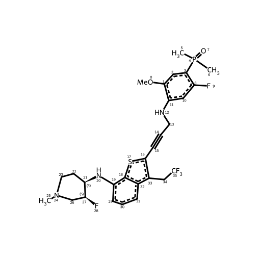 COc1cc(P(C)(C)=O)c(F)cc1NCC#Cc1sc2c(N[C@@H]3CCN(C)C[C@@H]3F)cccc2c1CC(F)(F)F